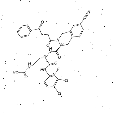 N#Cc1ccc2c(c1)CN(C(=O)CCC(=O)c1ccccc1)[C@H](C(=O)N[C@@H](CCNC(=O)O)C(=O)Nc1ccc(Cl)c(Cl)c1F)C2